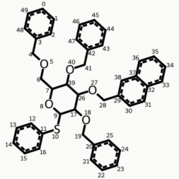 c1ccc(COCC2OC(Sc3ccccc3)C(OCc3ccccc3)C(OCc3ccc4ccccc4c3)C2OCc2ccccc2)cc1